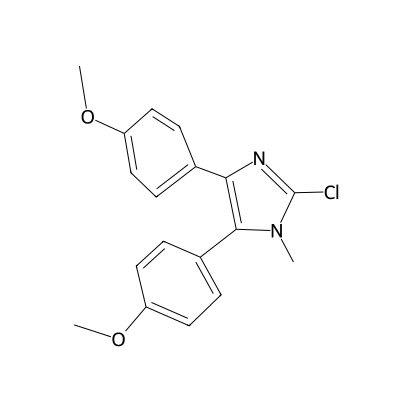 COc1ccc(-c2nc(Cl)n(C)c2-c2ccc(OC)cc2)cc1